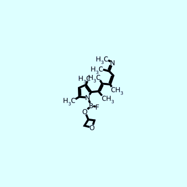 C/N=C(C)/C=C(C)\C(C)=C(/C)c1c(C)cc(C)n1B(F)OC1COC1